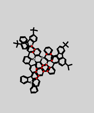 CC(C)c1ccc2c(c1)-c1cc(C(C)(C)C)ccc1C2c1ccc2c(c1)N(c1c(-c3cccc(-c4ccccc4)c3)cccc1-c1cccc(-c3ccccc3)c1)c1cc(-c3ccc4c(c3)c3ccccc3n4-c3ccccc3)cc3c1B2c1ccc(-n2c4ccc(C(C)(C)C)cc4c4cc(C(C)(C)C)ccc42)cc1N3c1c(-c2cccc(-c3ccccc3)c2)cccc1-c1cccc(-c2ccccc2)c1